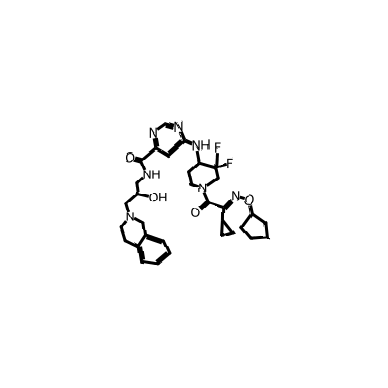 O=C(NCC(O)CN1CCc2ccccc2C1)c1cc(NC2CCN(C(=O)C(=NOC3CCCC3)C3CC3)CC2(F)F)ncn1